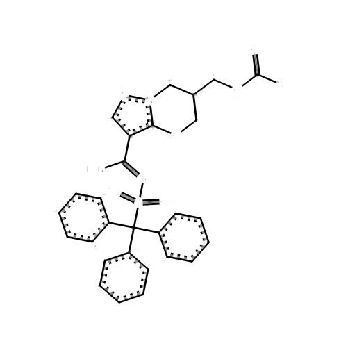 NC(=O)OCC1COc2c(C(N)=NS(=O)(=O)C(c3ccccc3)(c3ccccc3)c3ccccc3)cnn2C1